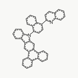 c1ccc2nc(-c3ccc(-n4c5ccccc5c5cc6c7ccccc7c7ccccc7c6cc54)c4ccccc34)ccc2c1